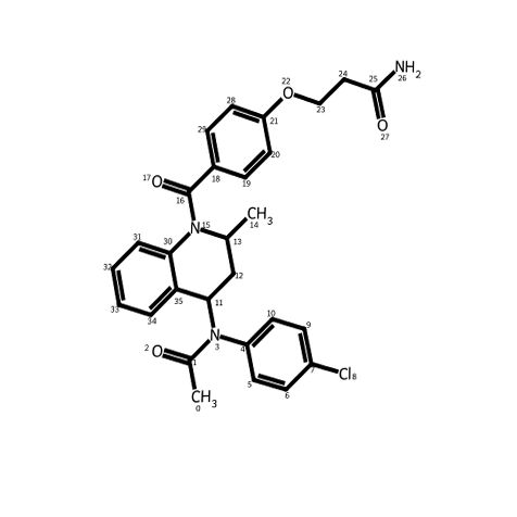 CC(=O)N(c1ccc(Cl)cc1)C1CC(C)N(C(=O)c2ccc(OCCC(N)=O)cc2)c2ccccc21